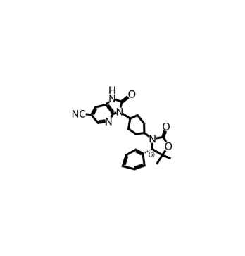 CC1(C)OC(=O)N(C2CCC(n3c(=O)[nH]c4cc(C#N)cnc43)CC2)[C@H]1c1ccccc1